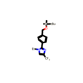 CCn1cc(C(F)(F)F)nc1-c1ccc(CO[Si](C)(C)C(C)(C)C)cc1